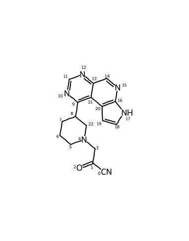 N#CC(=O)CN1CCCC(c2ncnc3cnc4[nH]ccc4c23)C1